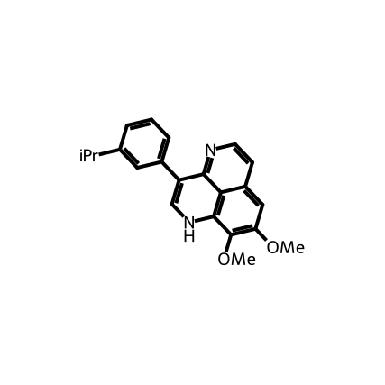 COc1cc2ccnc3c2c(c1OC)NC=C3c1cccc(C(C)C)c1